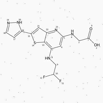 O=C(O)CNc1cc(NCC(F)F)c2sc(-c3ccn[nH]3)cc2n1